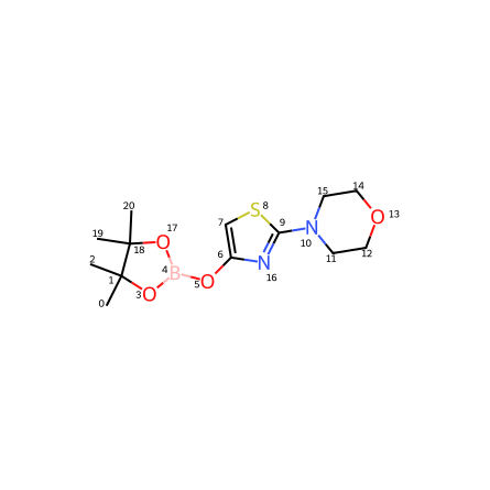 CC1(C)OB(Oc2csc(N3CCOCC3)n2)OC1(C)C